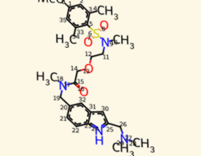 COc1cc(C)c(S(=O)(=O)N(C)CCOCC(=O)N(C)Cc2ccc3[nH]c(CN(C)C)cc3c2)c(C)c1